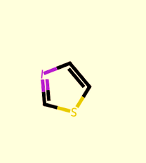 C1=CI=CS1